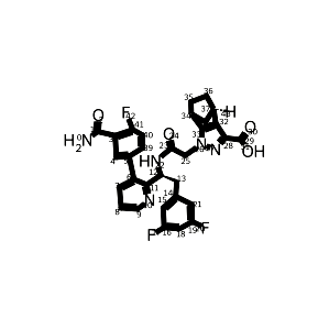 NC(=O)c1cc(-c2cccnc2[C@H](Cc2cc(F)cc(F)c2)NC(=O)Cn2nc(C(=O)O)c3c2C2CC[C@@H]3C2)ccc1F